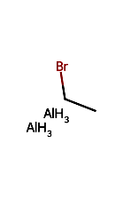 CCBr.[AlH3].[AlH3]